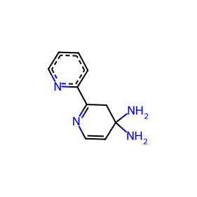 NC1(N)C=CN=C(c2ccccn2)C1